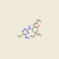 Cc1cc2c(o1)CC(C)(C)CC2Nc1ncc(C(F)(F)F)c(N)n1